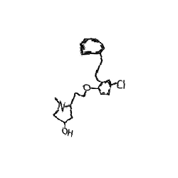 CN1CC(O)CC1CCOc1ccc(Cl)cc1CCc1ccccc1